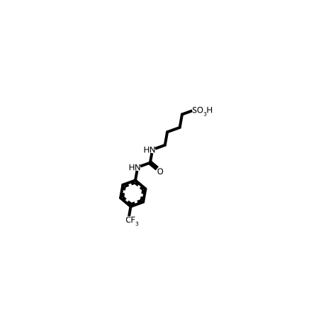 O=C(NCCCCS(=O)(=O)O)Nc1ccc(C(F)(F)F)cc1